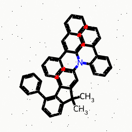 CC1(C)c2cc(N(c3ccccc3-c3ccccc3)c3cc4ccccc4cc3-c3ccccc3)ccc2-c2c(-c3ccccc3)cccc21